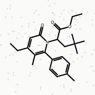 CCOC(=O)C(CC(C)(C)C)n1c(-c2ccc(C)cc2)c(C)c(CC)cc1=O